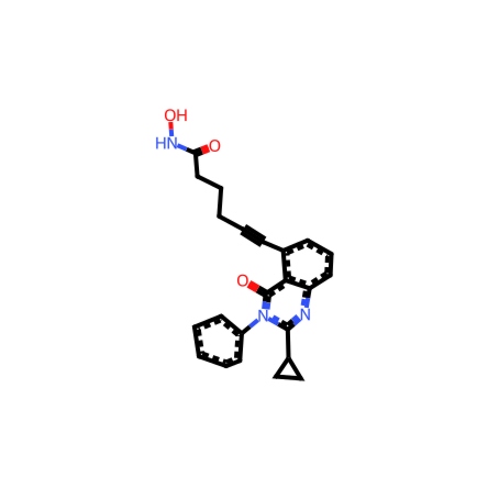 O=C(CCCC#Cc1cccc2nc(C3CC3)n(-c3ccccc3)c(=O)c12)NO